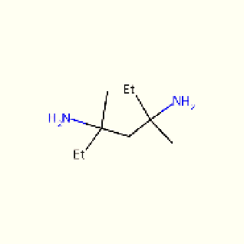 CCC(C)(N)CC(C)(N)CC